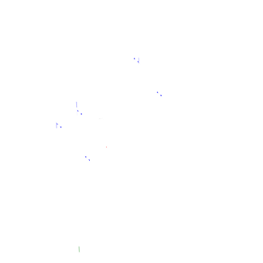 CN(NC(=O)c1cnc(-c2ccccc2)nc1)c1ccc(C(F)(F)F)cn1